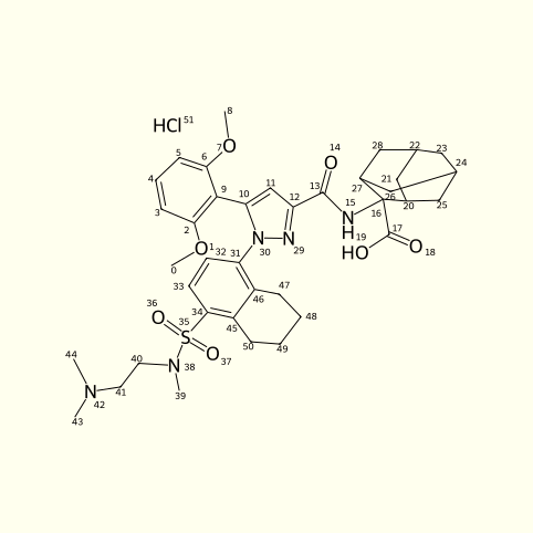 COc1cccc(OC)c1-c1cc(C(=O)NC2(C(=O)O)C3CC4CC(C3)CC2C4)nn1-c1ccc(S(=O)(=O)N(C)CCN(C)C)c2c1CCCC2.Cl